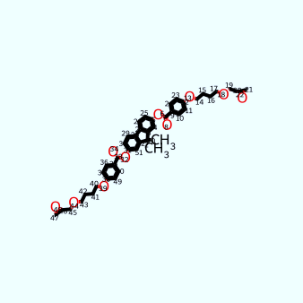 CC1(C)c2cc(OC(=O)c3ccc(OCCCCOCC4CO4)cc3)ccc2-c2ccc(OC(=O)c3ccc(OCCCCOCC4CO4)cc3)cc21